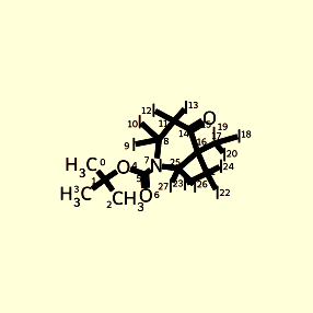 CC(C)(C)OC(=O)N1C(I)(I)C(I)(I)C(=O)C(C(I)(I)I)(C(I)(I)I)C1(I)I